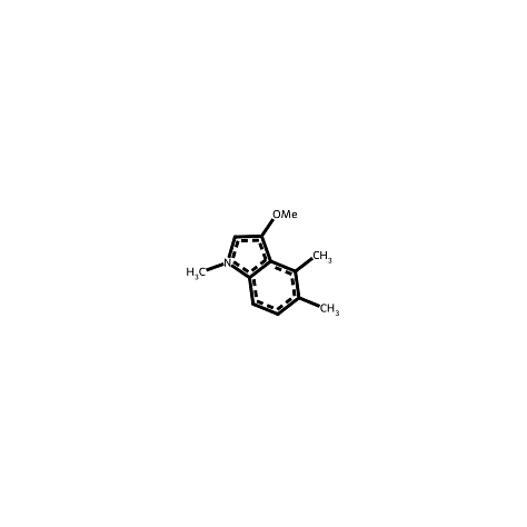 COc1cn(C)c2ccc(C)c(C)c12